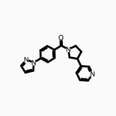 O=C(c1ccc(-n2cccn2)cc1)N1CCC(c2cccnc2)C1